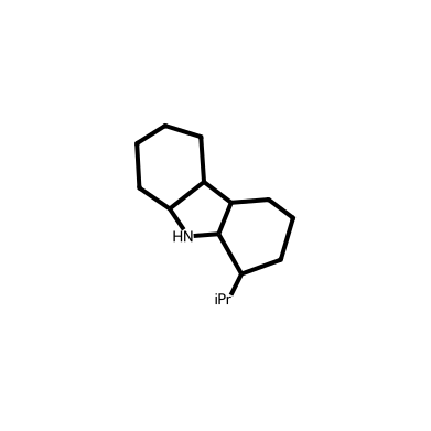 CC(C)C1CCCC2C3CCCCC3NC12